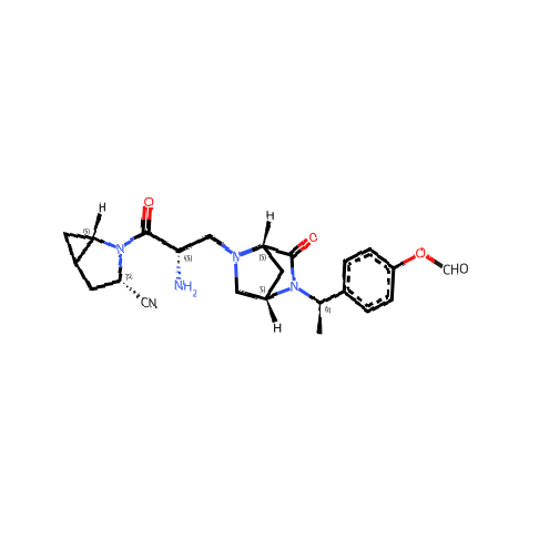 C[C@H](c1ccc(OC=O)cc1)N1C(=O)[C@@H]2C[C@H]1CN2C[C@H](N)C(=O)N1[C@H](C#N)CC2C[C@@H]21